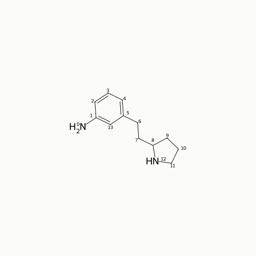 Nc1cccc(CCC2CCCN2)c1